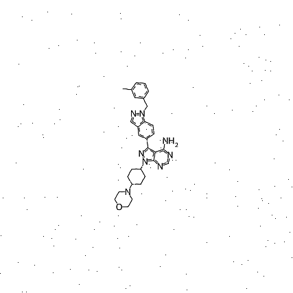 Cc1cccc(Cn2ncc3cc(-c4nn(C5CCC(N6CCOCC6)CC5)c5ncnc(N)c45)ccc32)c1